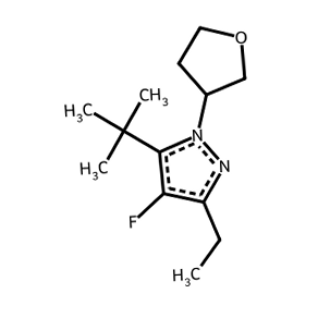 CCc1nn(C2CCOC2)c(C(C)(C)C)c1F